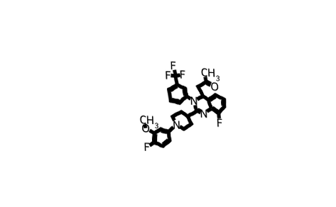 COc1cc(N2CCC(C3=Nc4c(F)cccc4C(CC(C)=O)N3c3cccc(C(F)(F)F)c3)CC2)ccc1F